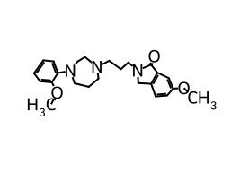 COc1ccc2c(c1)C(=O)N(CCCN1CCCN(c3ccccc3OC)CC1)C2